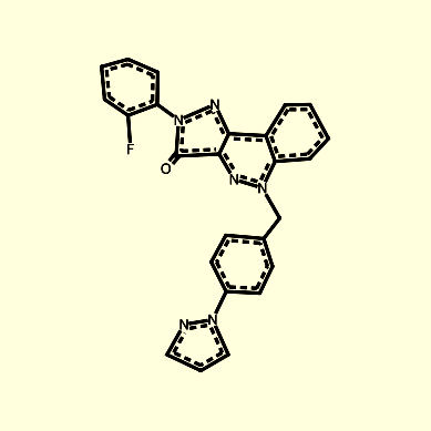 O=c1c2nn(Cc3ccc(-n4cccn4)cc3)c3ccccc3c-2nn1-c1ccccc1F